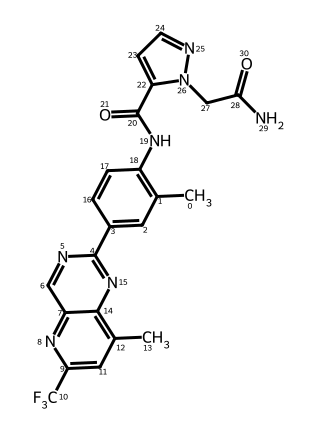 Cc1cc(-c2ncc3nc(C(F)(F)F)cc(C)c3n2)ccc1NC(=O)c1ccnn1CC(N)=O